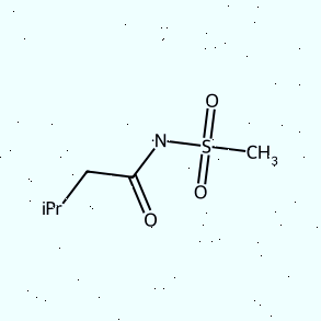 CC(C)CC(=O)[N]S(C)(=O)=O